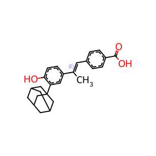 C/C(=C\c1ccc(C(=O)O)cc1)c1ccc(O)c(C23CC4CC(CC(C4)C2)C3)c1